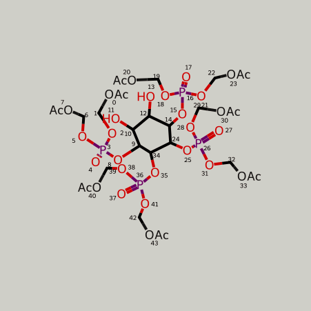 CC(=O)OCOP(=O)(OCOC(C)=O)OC1C(O)C(O)C(OP(=O)(OCOC(C)=O)OCOC(C)=O)C(OP(=O)(OCOC(C)=O)OCOC(C)=O)C1OP(=O)(OCOC(C)=O)OCOC(C)=O